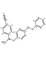 CN(Cc1ccc(OCc2ccccc2)cc1)c1ccc(C#N)cc1